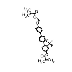 C=C(C)C(=O)O/C=C\Oc1ccc(-c2ccc(-c3ccc(OC(=O)C(=C)C)cc3C(F)(F)F)cc2)cc1